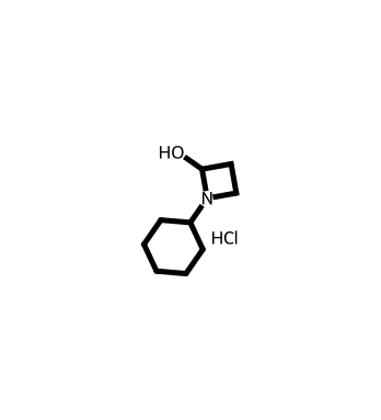 Cl.OC1CCN1C1CCCCC1